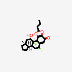 CCCC1OC2=C(O1)[C@@]1(C)C(=CC2=O)C(F)C[C@H]2[C@@H]3CCC[C@@]3(C)C[C@H](O)[C@@]21F